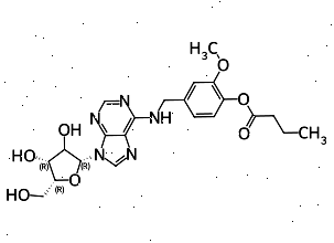 CCCC(=O)Oc1ccc(CNc2ncnc3c2ncn3[C@@H]2O[C@H](CO)[C@H](O)C2O)cc1OC